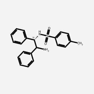 Cc1ccc(S(=O)(=O)N[C@@H](c2ccccc2)C(N)c2ccccc2)cc1